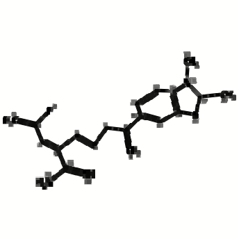 C=C(F)/C=C(\C=C\CC(=C)c1ccc2c(c1)SC(C)N2C)C(=N)N